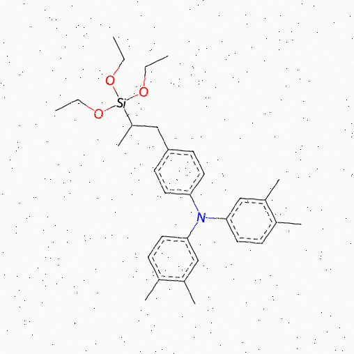 CCO[Si](OCC)(OCC)C(C)Cc1ccc(N(c2ccc(C)c(C)c2)c2ccc(C)c(C)c2)cc1